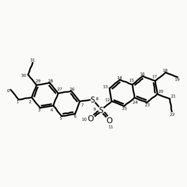 CCc1cc2ccc(SS(=O)(=O)c3ccc4cc(CC)c(CC)cc4c3)cc2cc1CC